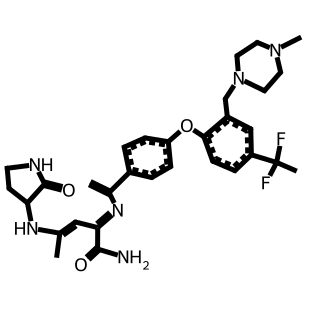 C=C(/N=C(\C=C(/C)NC1CCNC1=O)C(N)=O)c1ccc(Oc2ccc(C(C)(F)F)cc2CN2CCN(C)CC2)cc1